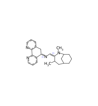 CC1CC2CCCC(C2)N(C)/C1=C/N=C1\Cc2cccnc2-c2ncccc21